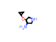 NC1CNCC1OC1CC1